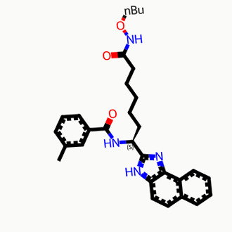 CCCCONC(=O)CCCCC[C@H](NC(=O)c1cccc(C)c1)c1nc2c(ccc3ccccc32)[nH]1